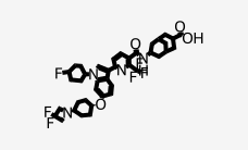 O=C(NC1CC2CC(C1)CC(C(=O)O)C2)c1ccc(-c2cn(C3CCC(F)CC3)c3cc(O[C@H]4CC[C@H](N5CC(F)(F)C5)CC4)ccc23)nc1C(F)(F)F